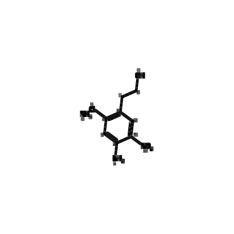 N.Nc1cc(Cl)c(CCO)cc1[N+](=O)[O-]